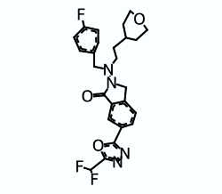 O=C1c2cc(-c3nnc(C(F)F)o3)ccc2CN1N(CCC1CCOCC1)Cc1ccc(F)cc1